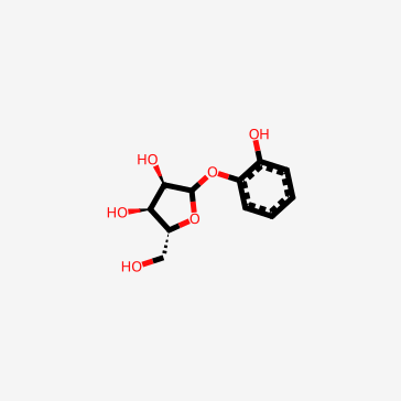 OC[C@H]1OC(Oc2ccccc2O)[C@H](O)[C@@H]1O